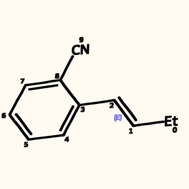 CC/C=C/c1ccccc1C#N